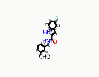 O=Cc1cccc(CNC(=O)c2cc3cc(F)ccc3[nH]2)c1